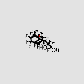 OC(F)(F)C(O)(F)C(F)(F)OC1(F)C2(F)C(F)(F)C3(F)C(F)(F)C(F)(C2(F)F)C(F)(F)C1(F)C3(F)F